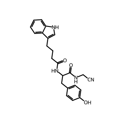 N#CCNC(=O)C(Cc1ccc(O)cc1)NC(=O)CCCc1c[nH]c2ccccc12